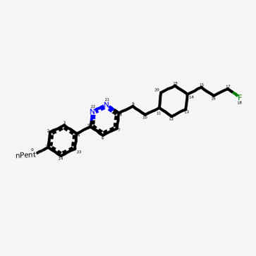 CCCCCc1ccc(-c2ccc(CCC3CCC(CCCF)CC3)nn2)cc1